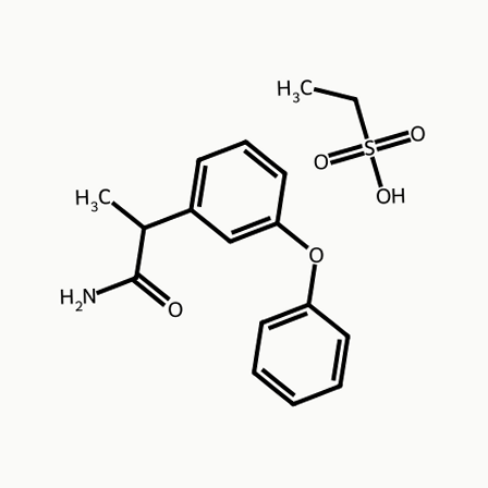 CC(C(N)=O)c1cccc(Oc2ccccc2)c1.CCS(=O)(=O)O